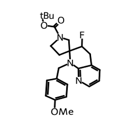 COc1ccc(CN2c3ncccc3CC(F)C23CCN(C(=O)OC(C)(C)C)C3)cc1